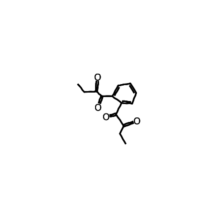 CCC(=O)C(=O)c1ccccc1C(=O)C(=O)CC